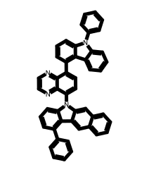 c1ccc(-c2cccc3c2c2cc4ccccc4cc2n3-c2ccc(-c3cccc4c3c3ccccc3n4-c3ccccc3)c3nccnc23)cc1